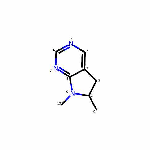 CC1Cc2cncnc2N1C